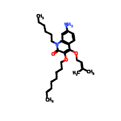 CCCCCCCCOc1c(OCC=C(C)C)c2ccc(N)cc2n(CCCCCC)c1=O